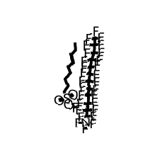 CCCCCCCCCS(=O)(=O)OF.FC(F)(F)C(F)(F)C(F)(F)C(F)(F)C(F)(F)C(F)(F)C(F)(F)C(F)(F)C(F)(F)C(F)(F)C(F)(F)C(F)(F)[N+](F)(F)F